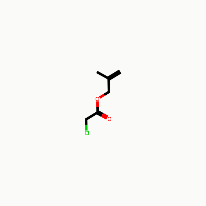 C=C(C)COC(=O)CCl